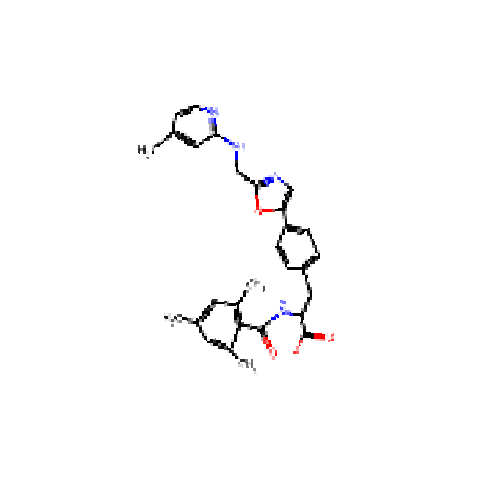 Cc1ccnc(NCc2ncc(-c3ccc(CC(NC(=O)c4c(C)cc(C)cc4C)C(=O)O)cc3)o2)c1